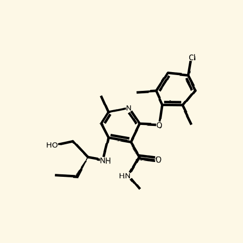 CC[C@@H](CO)Nc1cc(C)nc(Oc2c(C)cc(Cl)cc2C)c1C(=O)NC